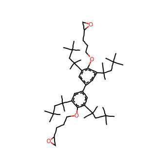 CC(C)(C)CC(C)(C)c1cc(-c2cc(C(C)(C)CC(C)(C)C)c(OCCCC3CO3)c(C(C)(C)CC(C)(C)C)c2)cc(C(C)(C)CC(C)(C)C)c1OCCCC1CO1